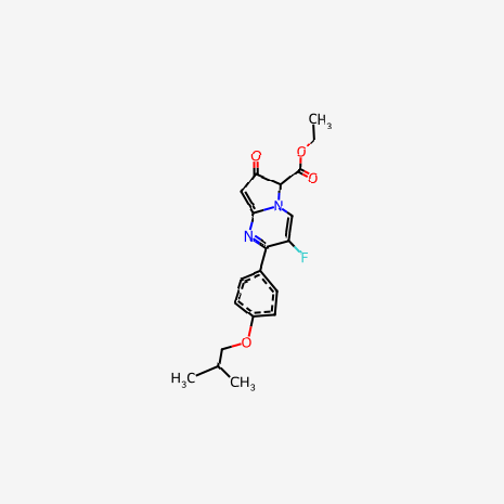 CCOC(=O)C1C(=O)C=C2N=C(c3ccc(OCC(C)C)cc3)C(F)=CN21